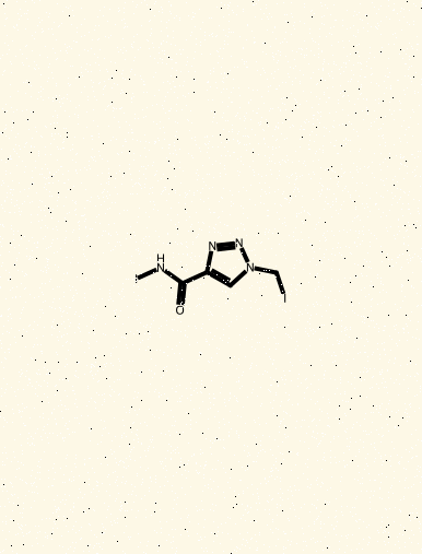 O=C(NI)c1cn(CI)nn1